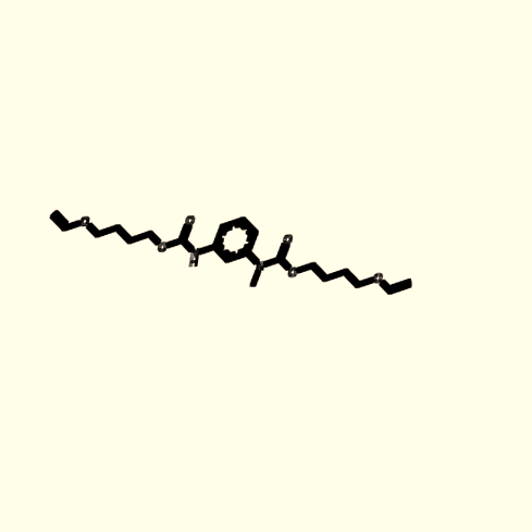 C=COCCCCOC(=O)Nc1cccc(N(C)C(=O)OCCCCOC=C)c1